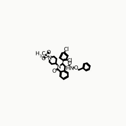 CS(=O)(=O)N1CCC(N2C(=O)c3ccccc3[C@@H](C(=O)NOCc3ccccc3)[C@@H]2c2ccc(Cl)cc2Cl)CC1